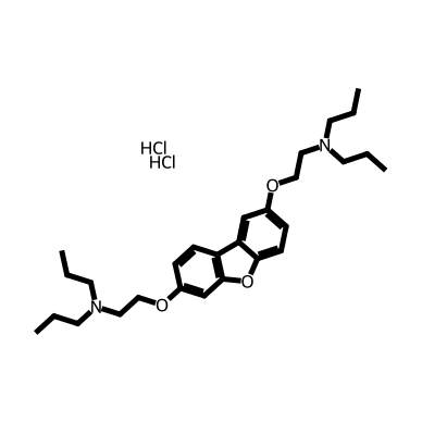 CCCN(CCC)CCOc1ccc2c(c1)oc1ccc(OCCN(CCC)CCC)cc12.Cl.Cl